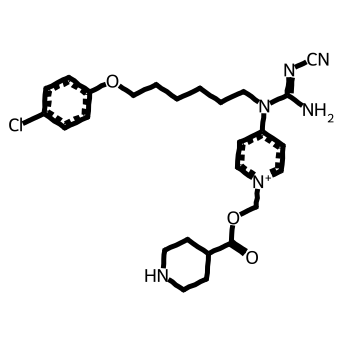 N#CN=C(N)N(CCCCCCOc1ccc(Cl)cc1)c1cc[n+](COC(=O)C2CCNCC2)cc1